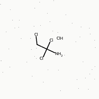 Cl.NC(Cl)(Cl)CCl